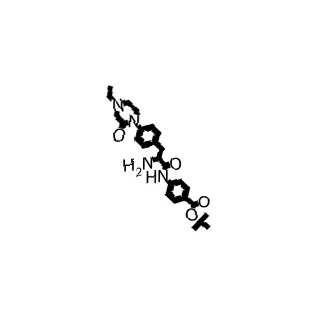 CCN1CCN(c2ccc(CC(N)C(=O)Nc3ccc(C(=O)OC(C)(C)C)cc3)cc2)C(=O)C1